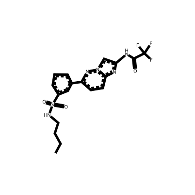 CCCCNS(=O)(=O)c1cccc(-c2ccc3nc(NC(=O)C(F)(F)F)cn3n2)c1